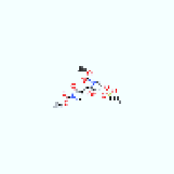 CC(C)(C)OC(=O)N1CC[C@@H](C[C@]2(O)C[C@@H](OS(C)(=O)=O)CN2C(=O)OC(C)(C)C)C1=O